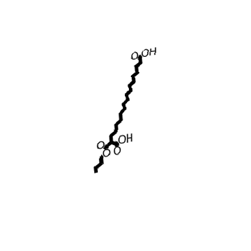 CCCCOC(=O)C(CCCCCCCCCCCCCCCCC(=O)O)C(=O)O